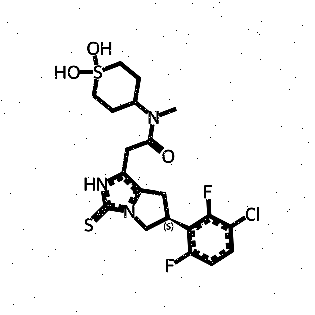 CN(C(=O)Cc1[nH]c(=S)n2c1C[C@@H](c1c(F)ccc(Cl)c1F)C2)C1CCS(O)(O)CC1